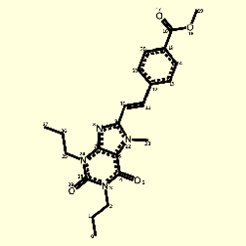 CCCn1c(=O)c2c(nc(/C=C/c3ccc(C(=O)OC)cc3)n2C)n(CCC)c1=O